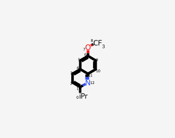 CC(C)c1ccc2cc(OC(F)(F)F)ccc2n1